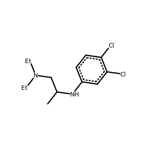 CCN(CC)CC(C)Nc1ccc(Cl)c(Cl)c1